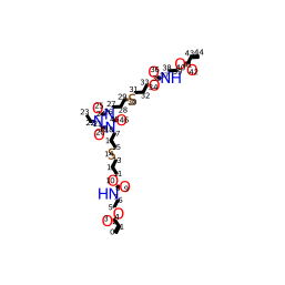 C=CC(=O)OCCNC(=O)OCCCSCCCn1c(=O)n(CC)c(=O)n(CCCSCCCOC(=O)NCCOC(=O)C=C)c1=O